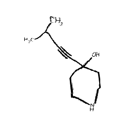 CC(C)C#CC1(O)CCNCC1